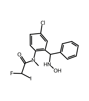 CN(C(=O)C(F)I)c1ccc(Cl)cc1C(NO)c1ccccc1